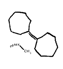 C1CCCC(=C2CCCCCC2)CC1.CCCCCCC